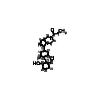 C=CC(=O)N1CCn2c(cnc2-c2cc(F)c(-c3c(O)cccc3F)c(Cl)c2)C1